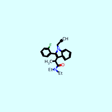 C#CCn1c(-c2ccccc2F)c(C(C)C(=O)N(CC)CC)c2ccccc21